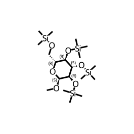 CO[C@H]1O[C@H](CO[Si](C)(C)C)[C@@H](O[Si](C)(C)C)[C@H](O[Si](C)(C)C)[C@H]1O[Si](C)(C)C